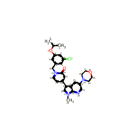 CC(C)Oc1cc(Cl)cc(Cn2ccc(-c3cn(C)c4ncc(N5CCOCC5)cc34)cc2=O)c1